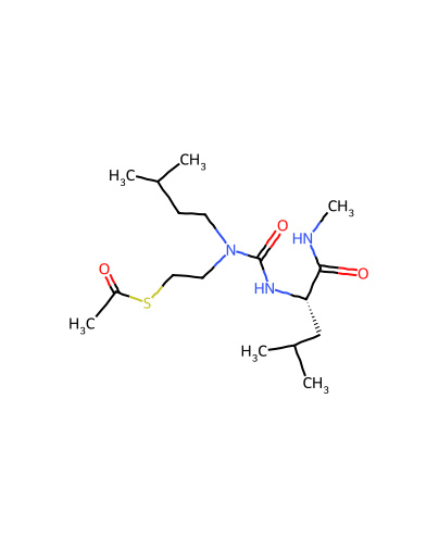 CNC(=O)[C@H](CC(C)C)NC(=O)N(CCSC(C)=O)CCC(C)C